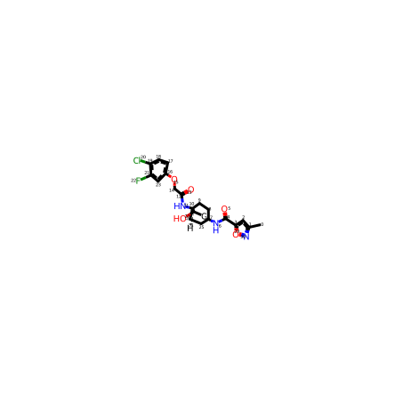 Cc1cc(C(=O)NC23CCC(NC(=O)COc4ccc(Cl)c(F)c4)(CC2)[C@H](O)C3)on1